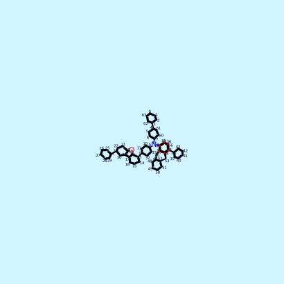 c1ccc(-c2ccc(N(c3ccc(-c4cccc5c4oc4ccc(-c6ccccc6)cc45)cc3)c3ccc(-c4ccccc4)c4c3C3c5ccccc5C4c4ccccc43)cc2)cc1